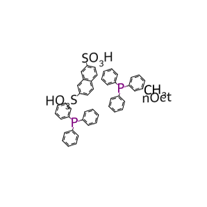 CCCCCCCCC.O=S(=O)(O)c1ccc2ccc(S(=O)(=O)O)cc2c1.c1ccc(P(c2ccccc2)c2ccccc2)cc1.c1ccc(P(c2ccccc2)c2ccccc2)cc1